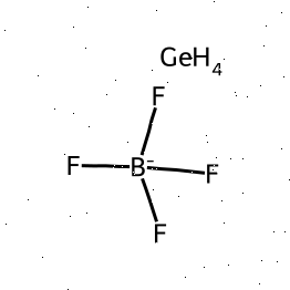 F[B-](F)(F)F.[GeH4]